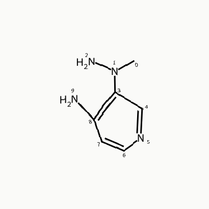 CN(N)c1cnccc1N